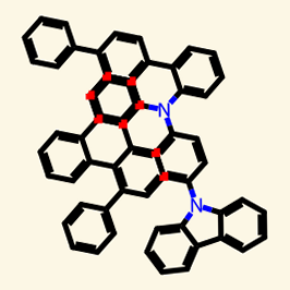 c1ccc(-c2ccc(-c3ccccc3N(c3ccc(-n4c5ccccc5c5ccccc54)cc3)c3ccccc3-c3cccc(-c4ccccc4)c3-c3ccccc3-c3ccccc3)cc2)cc1